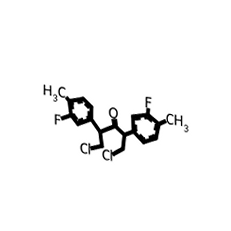 Cc1ccc(C(CCl)C(=O)C(CCl)c2ccc(C)c(F)c2)cc1F